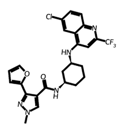 Cn1cc(C(=O)N[C@@H]2CCC[C@H](Nc3cc(C(F)(F)F)nc4ccc(Cl)cc34)C2)c(-c2ccco2)n1